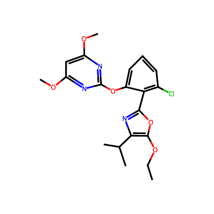 CCOc1oc(-c2c(Cl)cccc2Oc2nc(OC)cc(OC)n2)nc1C(C)C